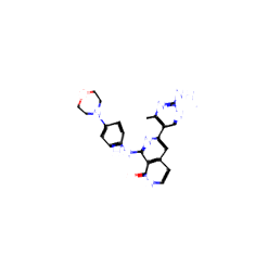 Cc1nc(N)ncc1-c1cc2c(c(Nc3ccc(N4CCOCC4)cc3)n1)C(=O)[N]C=C2